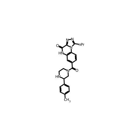 CCCc1nnc2c(=O)[nH]c3cc(C(=O)N4CCNC(c5ccc(C)cc5)C4)ccc3n12